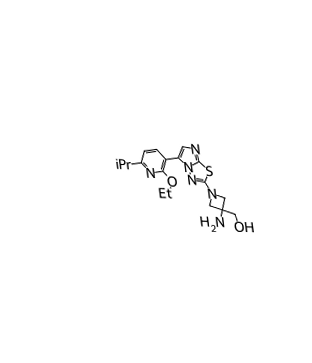 CCOc1nc(C(C)C)ccc1-c1cnc2sc(N3CC(N)(CO)C3)nn12